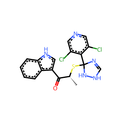 C[C@@H](SC1(c2c(Cl)cncc2Cl)N=CNN1)C(=O)c1c[nH]c2ccccc12